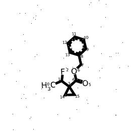 CC(F)C1(C(=O)OCc2ccccc2)CC1